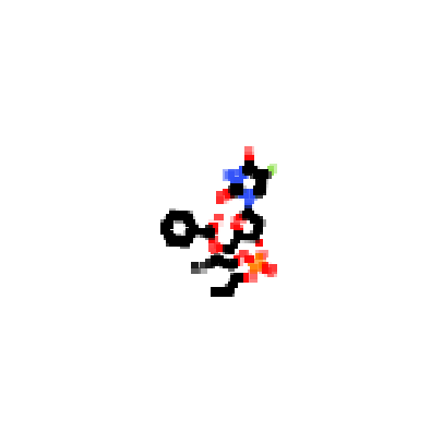 C=CCOP(=O)(OCCC#N)O[C@H]1C[C@H](n2cc(F)c(=O)[nH]c2=O)O[C@@H]1COC(=O)c1ccccc1